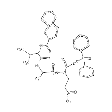 CC(NC(=O)C(NC(=O)c1ccc2ccccc2c1)C(C)C)C(=O)NN(CCC(=O)O)C(=O)COP(=O)(c1ccccc1)c1ccccc1